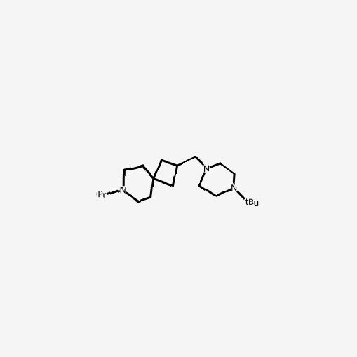 CC(C)N1CCC2(CC1)CC(CN1CCN(C(C)(C)C)CC1)C2